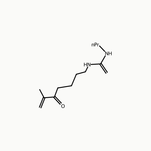 C=C(NCCC)NCCCCC(=O)C(=C)C